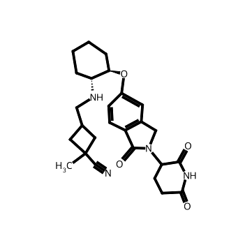 CC1(C#N)CC(CN[C@@H]2CCCC[C@H]2Oc2ccc3c(c2)CN(C2CCC(=O)NC2=O)C3=O)C1